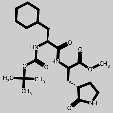 COC(=O)C(C[C@@H]1CCNC1=O)NC(=O)[C@H](CC1CCCCC1)NC(=O)OC(C)(C)C